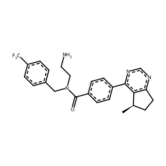 C[C@@H]1CCc2ncnc(-c3ccc(C(=O)N(CCN)Cc4ccc(C(F)(F)F)cc4)cc3)c21